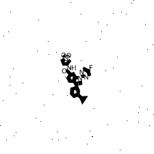 O=C(NC1CCS(=O)(=O)C1)c1ccc2c(-c3cccc(C4CC4)c3)cn(-c3ncc(F)cn3)c2c1